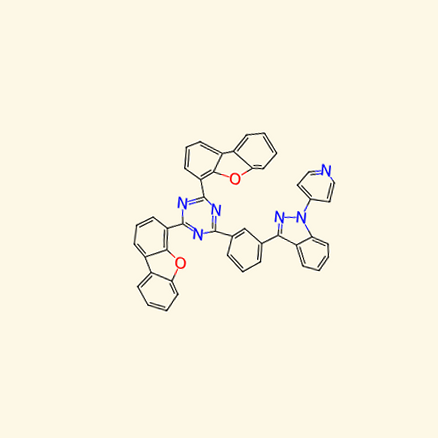 c1cc(-c2nc(-c3cccc4c3oc3ccccc34)nc(-c3cccc4c3oc3ccccc34)n2)cc(-c2nn(-c3ccncc3)c3ccccc23)c1